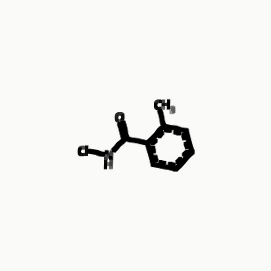 Cc1ccccc1C(=O)NCl